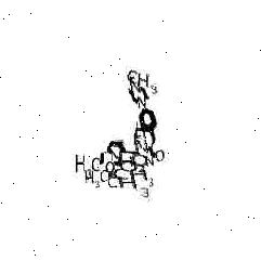 CCC[C@@H]1CC[C@@H](C(=O)N[C@@H](Cc2ccc(N3CCN(C)CC3)cc2F)C(N)=O)N1C(=O)OC(C)(C)C